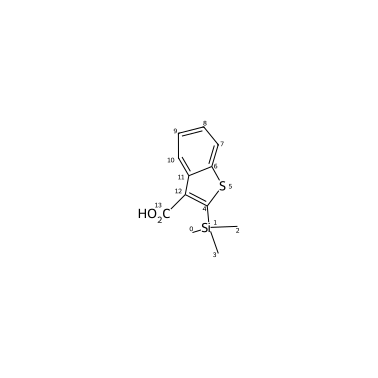 C[Si](C)(C)c1sc2ccccc2c1C(=O)O